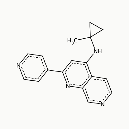 CC1(Nc2cc(-c3ccncc3)nc3cnccc23)CC1